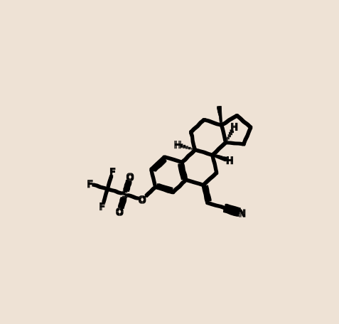 C[C@@]12CCC[C@H]1[C@@H]1CC(=CC#N)c3cc(OS(=O)(=O)C(F)(F)F)ccc3[C@H]1CC2